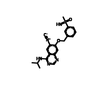 [C-]#[N+]c1cc2c(NC(C)C)ncnc2cc1OCc1cccc(S(C)(=N)=O)c1